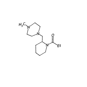 [CH2]CC(=O)N1CCCCC1CN1CCN(C)CC1